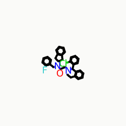 O=C(CN1CCc2ccccc2C1c1ccccc1Cl)N(Cc1ccccc1F)C1Cc2ccccc2C1